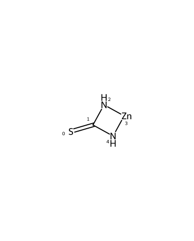 S=C1[NH][Zn][NH]1